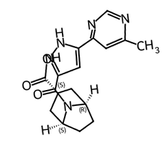 Cc1cc(-c2cc(C(=O)N3[C@@H]4CC[C@H]3C[C@H](C(=O)O)C4)n[nH]2)ncn1